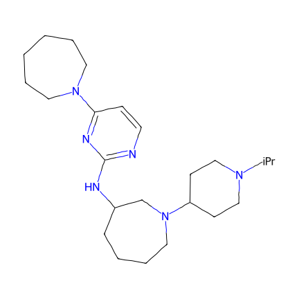 CC(C)N1CCC(N2CCCCC(Nc3nccc(N4CCCCCC4)n3)C2)CC1